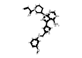 C=CC(=O)N1CCCC(n2nc(-c3csc(COc4cccc(OC)c4)c3)c3c(N)ncnc32)C1